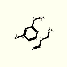 CCOC=O.COc1cccc(O)c1